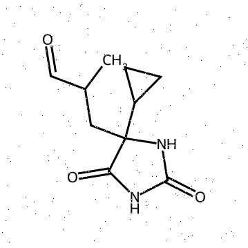 CC(C=O)CC1(C2CC2)NC(=O)NC1=O